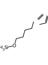 C=C.C=CC.CCCCCO[SiH3]